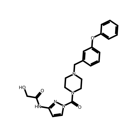 O=C(CO)Nc1ccn(C(=O)N2CCN(Cc3cccc(Oc4ccccc4)c3)CC2)n1